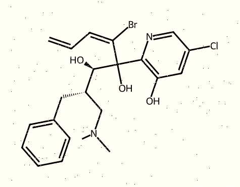 C=C/C=C(/Br)C(O)(c1ncc(Cl)cc1O)[C@H](O)[C@@H](Cc1ccccc1)CN(C)C